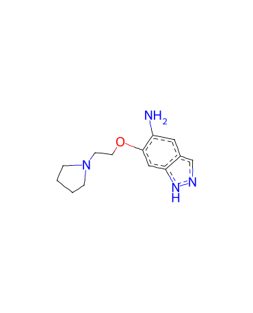 Nc1cc2cn[nH]c2cc1OCCN1CCCC1